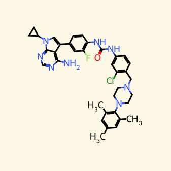 Cc1cc(C)c(N2CCN(Cc3ccc(NC(=O)Nc4ccc(-c5cn(C6CC6)c6ncnc(N)c56)cc4F)cc3Cl)CC2)c(C)c1